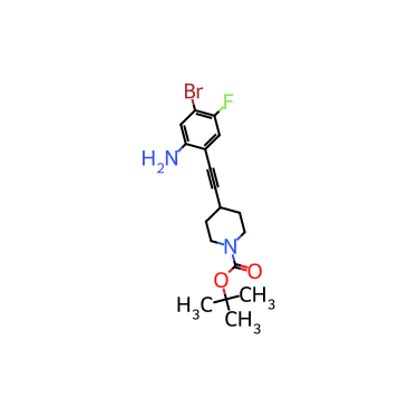 CC(C)(C)OC(=O)N1CCC(C#Cc2cc(F)c(Br)cc2N)CC1